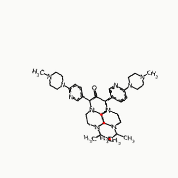 CC(C)N1CCN(C(C(=O)C(c2ccc(N3CCN(C)CC3)nc2)N2CCN(C(C)C)CC2)c2ccc(N3CCN(C)CC3)nc2)CC1